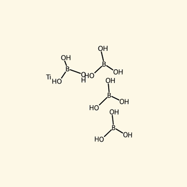 OB(O)O.OB(O)O.OB(O)O.OB(O)O.[Ti]